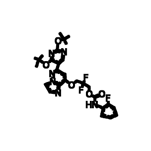 CC(C)(C)Oc1ncc(-c2cc(OCC(F)(F)COC(=O)Nc3ccccc3F)c3nccn3n2)c(OC(C)(C)C)n1